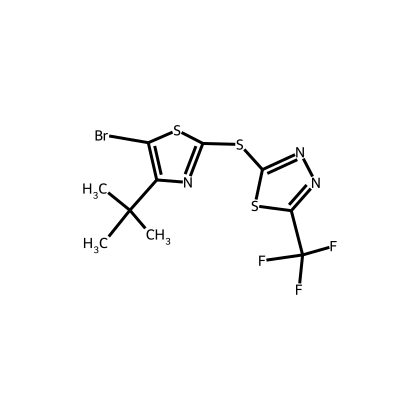 CC(C)(C)c1nc(Sc2nnc(C(F)(F)F)s2)sc1Br